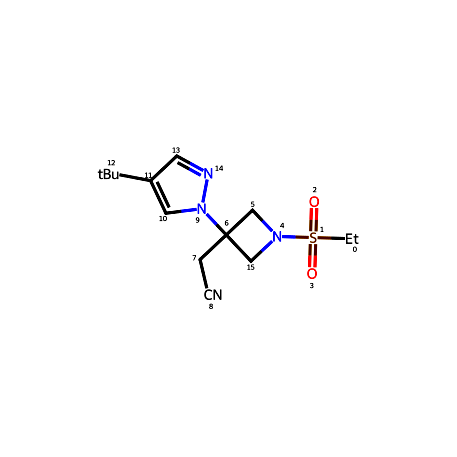 CCS(=O)(=O)N1CC(CC#N)(n2cc(C(C)(C)C)cn2)C1